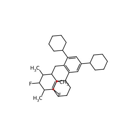 CC1=C(F)C(C)C(F)C(C)C1Cc1c(C2CCCCC2)cc(C2CCCCC2)cc1C1CCCCC1